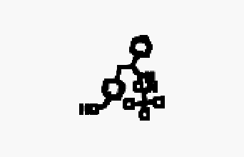 OCc1ccc(CC(c2ccccc2)c2nnc(C(Cl)(Cl)Cl)o2)cc1